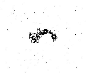 CC(C)C[C@H](NC(=O)c1cc2cc(OCCN3CCC(F)(F)CC3)ccc2o1)C(=O)N1C[C@H](F)C2OCC(=O)C21